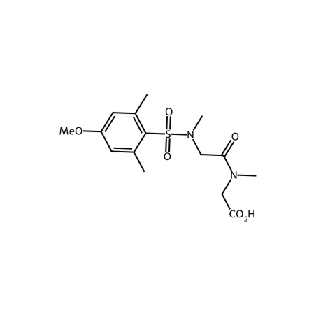 COc1cc(C)c(S(=O)(=O)N(C)CC(=O)N(C)CC(=O)O)c(C)c1